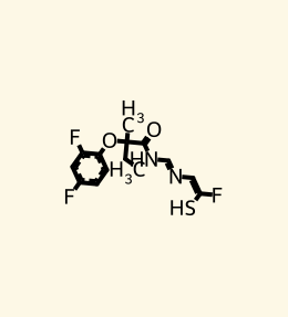 CCC(C)(Oc1ccc(F)cc1F)C(=O)N/C=N/C=C(/F)S